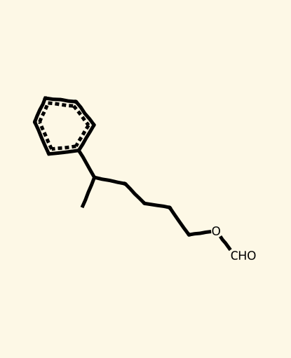 CC(CCCCOC=O)c1ccccc1